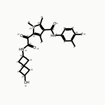 Cc1cc(NC(=O)c2c(C)c(C(=O)C(=O)NC3CC4(CC(O)C4)C3)n(C)c2C)ccc1F